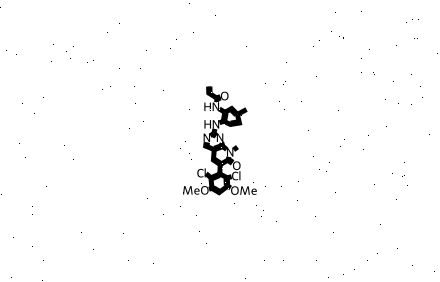 C=CC(=O)Nc1cc(C)ccc1Nc1ncc2cc(-c3c(Cl)c(OC)cc(OC)c3Cl)c(=O)n(C)c2n1